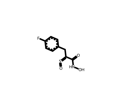 O=S=C(Cc1ccc(F)cc1)C(=O)NO